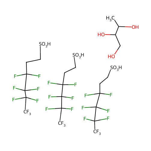 CC(O)C(O)CO.O=S(=O)(O)CCC(F)(F)C(F)(F)C(F)(F)C(F)(F)F.O=S(=O)(O)CCC(F)(F)C(F)(F)C(F)(F)C(F)(F)F.O=S(=O)(O)CCC(F)(F)C(F)(F)C(F)(F)C(F)(F)F